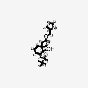 CC1(O[Si](C)(C)C(C)(C)C)C=CC=CC1(CCOCc1cscn1)C(=O)O